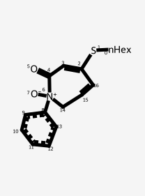 CCCCCCSC1=CC(=O)[N+]([O-])(c2ccccc2)CC=C1